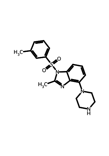 Cc1cccc(S(=O)(=O)n2c(C)nc3c(N4CCNCC4)cccc32)c1